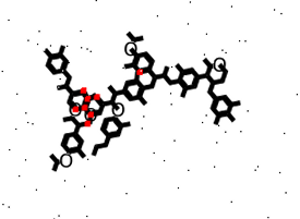 CCCc1ccc(OC(c2cc(C)c(OC(C)C(COc3ccc(C(C)Cc4ccc(C)c(C)c4)cc3C)c3ccc(OC(C)C)c(C)c3)c(C)c2)C(C)c2cc(C)c(CC(c3ccc(OC(C)C)c(C)c3)C(C)Cc3c(C)cc(C4C(Cc5cc(C)c(C)c(C)c5)CCOC4C)cc3C)c(C)c2)c(C)c1